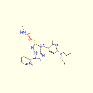 CCCN(CCC)c1ccc(/N=C2/C(SOONC)=Nn3c2nnc3-c2ccccn2)c(C)n1